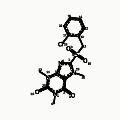 Cn1c(=O)c2c(nc(S(=O)(=O)Cc3ccccc3Cl)n2C)n(C)c1=O